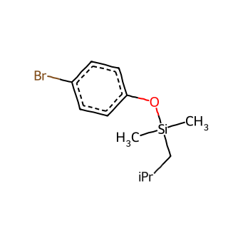 CC(C)C[Si](C)(C)Oc1ccc(Br)cc1